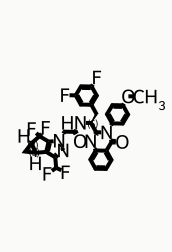 COc1ccc(-n2c([C@H](Cc3cc(F)cc(F)c3)NC(=O)Cn3nc(C(F)F)c4c3C(F)(F)[C@@H]3C[C@H]43)nc3ccccc3c2=O)cc1